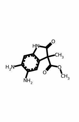 COC(=O)C1(C)C(=O)Nc2cc(N)c(N)cc21